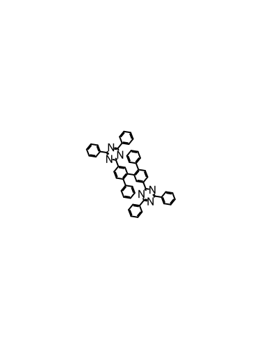 c1ccc(-c2nc(-c3ccccc3)nc(-c3ccc(-c4ccccc4)c(-c4cc(-c5nc(-c6ccccc6)nc(-c6ccccc6)n5)ccc4-c4ccccc4)c3)n2)cc1